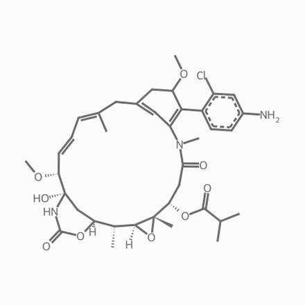 COC1CC2=CC(=C1c1ccc(N)cc1Cl)N(C)C(=O)C[C@H](OC(=O)C(C)C)[C@]1(C)O[C@H]1[C@H](C)[C@@H]1C[C@@](O)(NC(=O)O1)[C@H](OC)/C=C/C=C(\C)C2